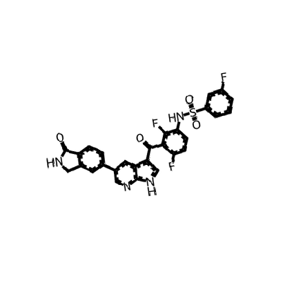 O=C1NCc2cc(-c3cnc4[nH]cc(C(=O)c5c(F)ccc(NS(=O)(=O)c6cccc(F)c6)c5F)c4c3)ccc21